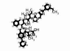 CCc1cc(-c2nc(CN3CCN([C@H](C(=O)N[C@@H](Cc4ccccc4)[C@@H](O)CN(Cc4ccc(-c5ccccn5)cc4)NC(=O)[C@@H](NC(=O)O)C(C)(C)C)[C@@H](C)CC)C3=O)cs2)ccn1